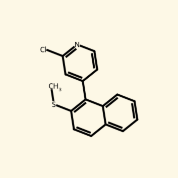 CSc1ccc2ccccc2c1-c1ccnc(Cl)c1